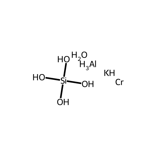 O.O[Si](O)(O)O.[AlH3].[Cr].[KH]